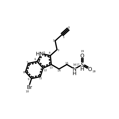 C#CCCc1[nH]c2ccc(Br)cc2c1CCN[SH](=O)=O